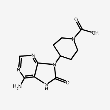 Nc1ncnc2c1[nH]c(=O)n2C1CCN(C(=O)O)CC1